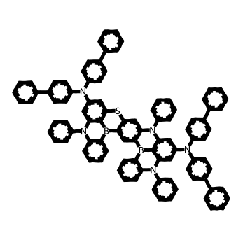 c1ccc(-c2ccc(N(c3ccc(-c4ccccc4)cc3)c3cc4c5c(c3)N(c3ccccc3)c3ccccc3B5c3cc5c(cc3S4)N(c3ccccc3)c3cc(N(c4ccc(-c6ccccc6)cc4)c4ccc(-c6ccccc6)cc4)cc4c3B5c3ccccc3N4c3ccccc3)cc2)cc1